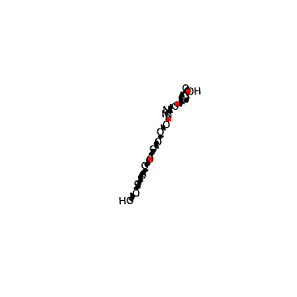 O=C(O)N1CCN(CCOCc2cn(CCOCCOCCOCCOCCOCCOCCOCCOCCOCCO)nn2)CC1